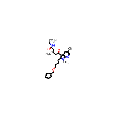 C[C@H](CC(=O)NCC(=O)O)CC(=O)c1c(CCCCOCc2ccccc2)n(C)c2ncc(C#N)cc12